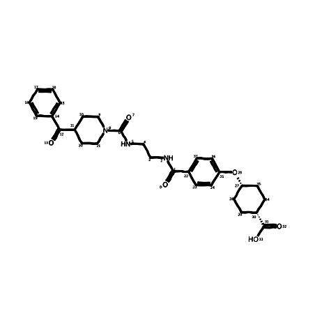 O=C(NCCNC(=O)N1CCC(C(=O)c2ccccc2)CC1)c1ccc(O[C@H]2CC[C@@H](C(=O)O)CC2)cc1